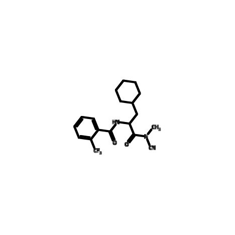 CN(C#N)C(=O)C(CC1CCCCC1)NC(=O)c1ccccc1C(F)(F)F